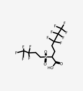 O=C(O)C(CCC(F)(F)C(F)(F)C(F)(F)F)S(=O)(=O)CCC(F)(F)C(F)(F)F